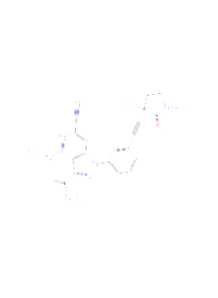 CNc1nc(C#N)cc2c1c(C(N)=O)nn2-c1cccc(C#CC2(O)CCN(C)C2=O)c1